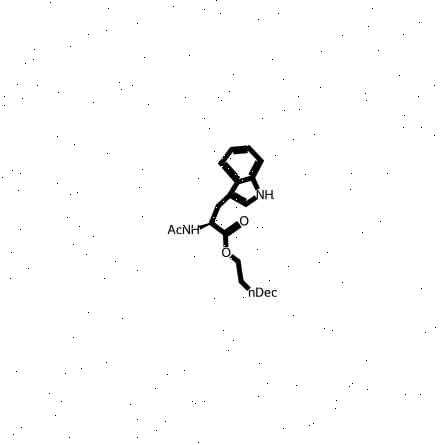 CCCCCCCCCCCCOC(=O)[C@H](Cc1c[nH]c2ccccc12)NC(C)=O